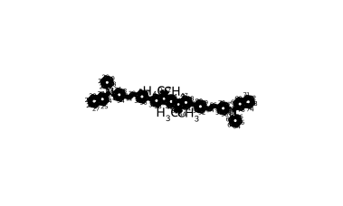 CC1(C)c2cc(-c3ccc(/C=C/c4ccc(N(c5ccccc5)c5ccc6ccccc6c5)cc4)cc3)ccc2-c2cc3c(cc21)-c1ccc(-c2ccc(/C=C/c4ccc(N(c5ccccc5)c5ccc6ccccc6c5)cc4)cc2)cc1C3(C)C